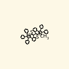 Cn1c(-c2ccccc2)c(-c2ccccc2)c2c3cccc4sc5c6c7c(cccc7c7c(-c8ccccc8)c(-c8ccccc8)n(-c8ccccc8)c57)sc(c-6c43)c21